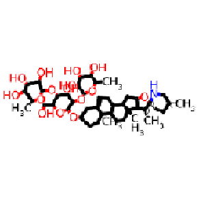 CC1OC(OC2C(CO)OC(OC3CCC4(C)C(=CCC5C4CCC4(C)C5CC5O[C@]6(CC[C@@H](C)CN6)[C@@H](C)C54)C3)C(OC3OC(C)C(O)C(O)C3O)C2O)C(O)C(O)C1O